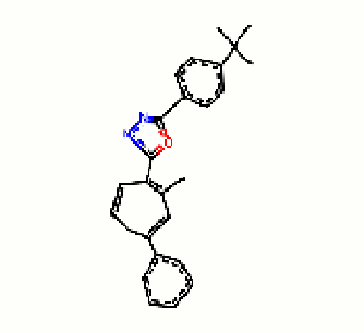 CC1=C(c2nnc(-c3ccc(C(C)(C)C)cc3)o2)C=CCC(c2ccccc2)=C1